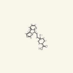 O=C(O)C1CCC(F)(CCC2c3ncccc3-c3cncn32)CC1